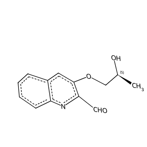 C[C@H](O)COc1cc2ccccc2nc1C=O